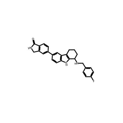 O=C1NCc2cc(-c3ccc4[nH]c5c(c4c3)CCCC5NCc3ccc(F)cc3)ccc21